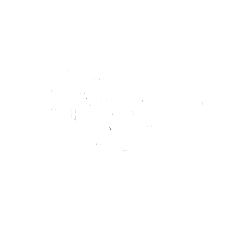 CC(=O)O[C@H]1O[C@H](COS(=O)(=O)c2ccc(C)cc2)[C@@H](OC(C)=O)[C@H](OC(C)=O)[C@@H]1NC(=O)OC(C)(C)C